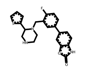 O=c1[nH]c2ccc(-c3ccc(F)c(CN4CCNCC4c4cccs4)c3)cc2o1